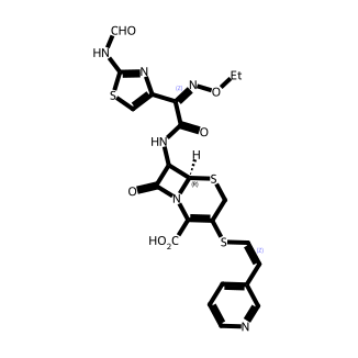 CCO/N=C(\C(=O)NC1C(=O)N2C(C(=O)O)=C(S/C=C\c3cccnc3)CS[C@H]12)c1csc(NC=O)n1